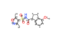 COc1cccc2c1CCC2C(=O)NS(=O)(=O)c1c(C)noc1C